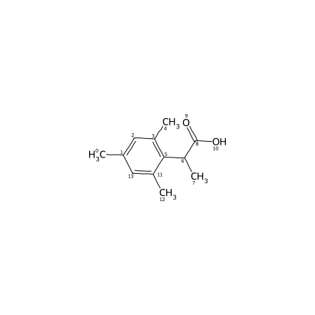 Cc1cc(C)c(C(C)C(=O)O)c(C)c1